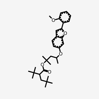 COc1ccccc1-c1cc2ccc(OC(C)CC(C)(C)OC(=O)C(CC(C)(C)C)C(C)(C)C)cc2o1